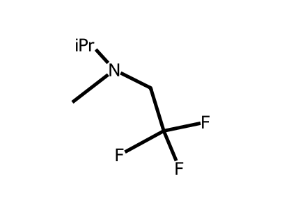 CC(C)N(C)CC(F)(F)F